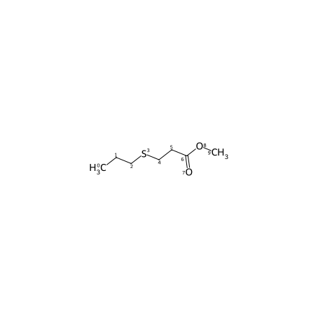 CCCSCCC(=O)OC